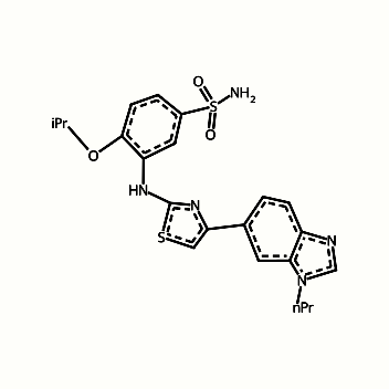 CCCn1cnc2ccc(-c3csc(Nc4cc(S(N)(=O)=O)ccc4OC(C)C)n3)cc21